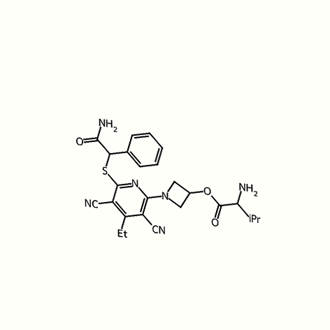 CCc1c(C#N)c(SC(C(N)=O)c2ccccc2)nc(N2CC(OC(=O)C(N)C(C)C)C2)c1C#N